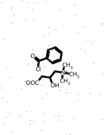 C[N+](C)(C)CC(O)CC(=O)[O-].O=C(Cl)c1ccccc1